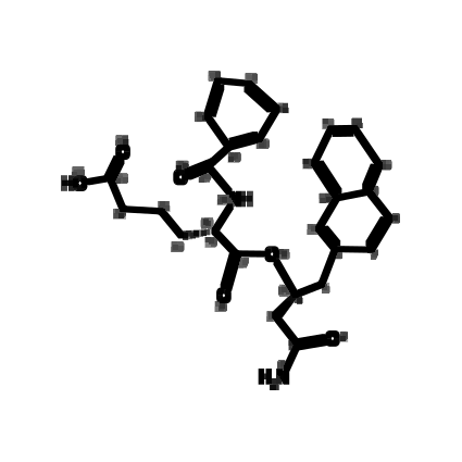 NC(=O)C[C@H](Cc1ccc2ccccc2c1)OC(=O)[C@H](CCCC(=O)O)NC(=O)c1ccccc1